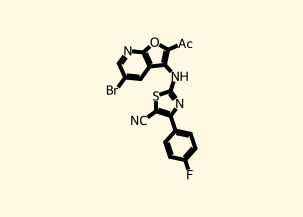 CC(=O)c1oc2ncc(Br)cc2c1Nc1nc(-c2ccc(F)cc2)c(C#N)s1